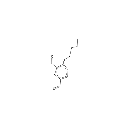 CCCCOc1ccc(C=O)cc1C=O